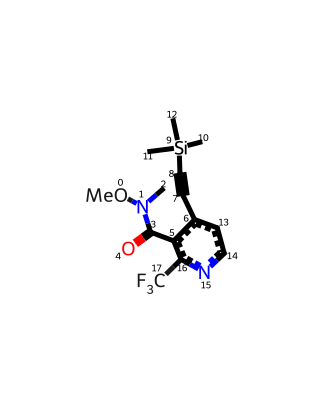 CON(C)C(=O)c1c(C#C[Si](C)(C)C)ccnc1C(F)(F)F